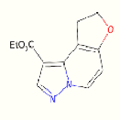 CCOC(=O)c1cnn2ccc3c(c12)CCO3